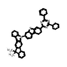 CC1(C)c2ccccc2-c2cc3c(cc21)c1ccccc1n3-c1ccc2c(c1)sc1cc(-c3nc(-c4ccccc4)nc(-c4ccccc4)n3)ccc12